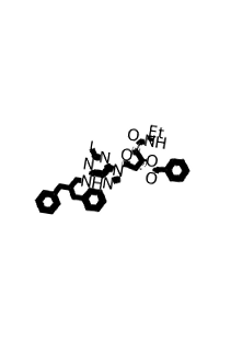 CCNC(=O)[C@H]1O[C@@H](n2cnc3c(NCC(Cc4ccccc4)Cc4ccccc4)nc(I)nc32)[CH][C@@H]1OC(=O)c1ccccc1